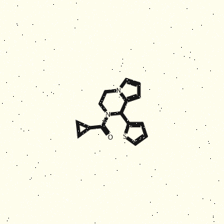 O=C(C1CC1)N1CCn2cccc2C1c1cccs1